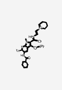 CCc1nc2c(cc1NC(=O)c1ccccc1)c(OC(C)C)c(C(=O)NCCN1CCCCC1)n2C